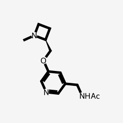 CC(=O)NCc1cncc(OC[C@@H]2CCN2C)c1